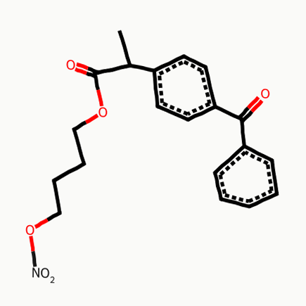 CC(C(=O)OCCCCO[N+](=O)[O-])c1ccc(C(=O)c2ccccc2)cc1